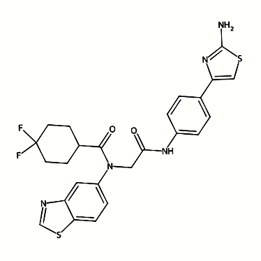 Nc1nc(-c2ccc(NC(=O)CN(C(=O)C3CCC(F)(F)CC3)c3ccc4scnc4c3)cc2)cs1